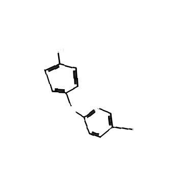 CCc1ccc(Oc2ccc(C)cc2)nc1